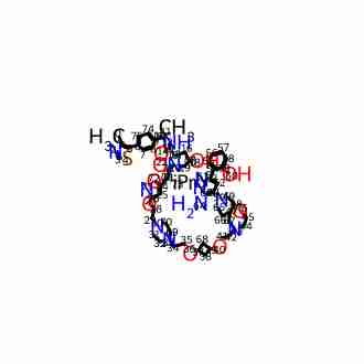 Cc1ncsc1-c1ccc([C@H](C)NC(=O)[C@@H]2C[C@@H](O)CN2C(=O)[C@@H](c2cc(OCCN3CCN(CCOC4CC(OCCN5CCOC6(CCN(c7cc(-c8ccccc8O)nnc7N)CC6)C5)C4)CC3)no2)C(C)C)cc1